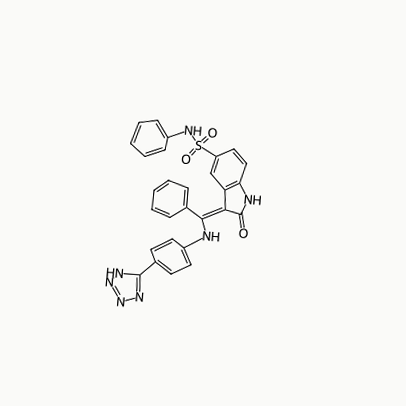 O=C1Nc2ccc(S(=O)(=O)Nc3ccccc3)cc2/C1=C(/Nc1ccc(-c2nnn[nH]2)cc1)c1ccccc1